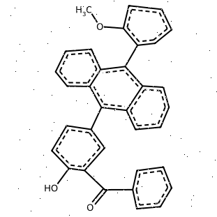 COc1ccccc1-c1c2ccccc2c(-c2ccc(O)c(C(=O)c3ccccc3)c2)c2ccccc12